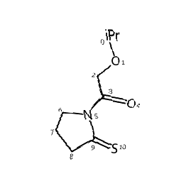 CC(C)OCC(=O)N1CCCC1=S